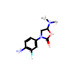 CC(=O)N(C)C1CN(c2ccc(N)c(F)c2)C(=O)O1